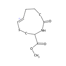 COC(=O)C1CS/C=C/CCCC(=O)N1